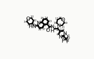 O=C(NCC(c1cnc(C(F)(F)F)nc1)N1CCCOCC1)c1cccc2nc(NC3CCOCC3)ccc12